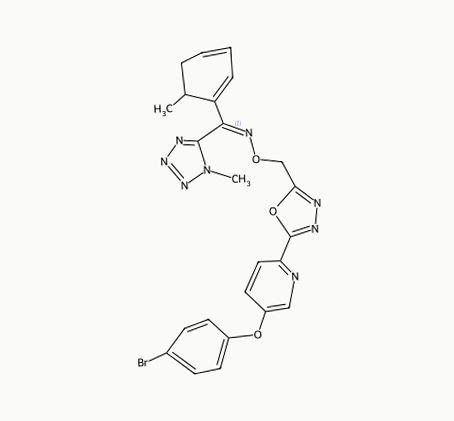 CC1CC=CC=C1/C(=N/OCc1nnc(-c2ccc(Oc3ccc(Br)cc3)cn2)o1)c1nnnn1C